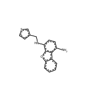 Nc1ccc(NCc2ccsc2)c2oc3ccccc3c12